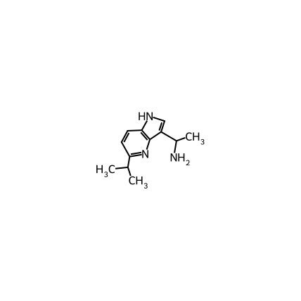 CC(C)c1ccc2[nH]cc(C(C)N)c2n1